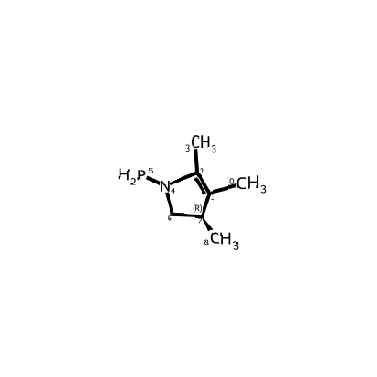 CC1=C(C)N(P)C[C@@H]1C